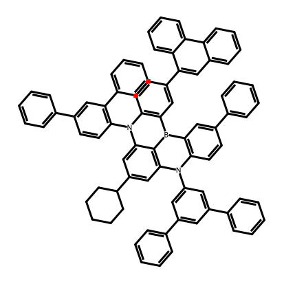 c1ccc(-c2cc(-c3ccccc3)cc(N3c4ccc(-c5ccccc5)cc4B4c5cc(-c6cc7ccccc7c7ccccc67)ccc5N(c5ccc(-c6ccccc6)cc5-c5ccccc5)c5cc(C6CCCCC6)cc3c54)c2)cc1